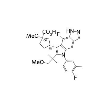 COCC(C)(C)c1c([C@@H]2CC[C@@](OC)(C(=O)O)C2)c2c(F)c3[nH]ncc3cc2n1-c1ccc(F)c(C)c1